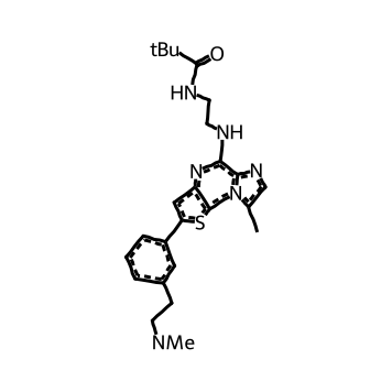 CNCCc1cccc(-c2cc3nc(NCCNC(=O)C(C)(C)C)c4ncc(C)n4c3s2)c1